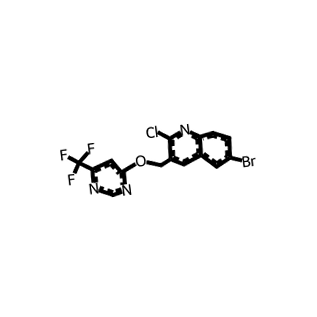 FC(F)(F)c1cc(OCc2cc3cc(Br)ccc3nc2Cl)ncn1